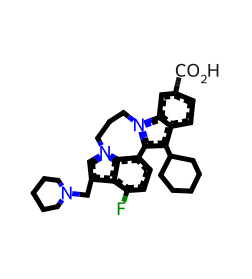 O=C(O)c1ccc2c(C3CCCCC3)c3n(c2c1)CCCn1cc(CN2CCCCC2)c2c(F)ccc-3c21